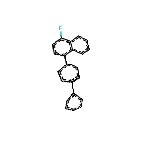 Fc1ccc(-c2ccc(-c3ccccc3)cc2)c2ccccc12